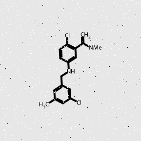 C=C(NC)c1cc(NCc2cc(C)cc(Cl)c2)ccc1Cl